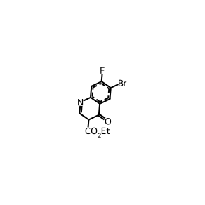 CCOC(=O)C1C=Nc2cc(F)c(Br)cc2C1=O